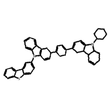 C1=CC2C3CC(C4=CC=C(C5C=Cc6c(c7ccccc7n6-c6ccc7sc8ccccc8c7c6)C5)CC4)=CC=C3N(C3CCCCC3)C2CC1